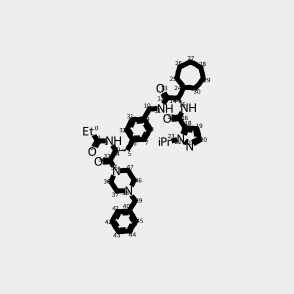 CCC(=O)N[C@H](Cc1ccc(CNC(=O)[C@@H](NC(=O)c2ccnn2C(C)C)C2CCCCCC2)cc1)C(=O)N1CCN(Cc2ccccc2)CC1